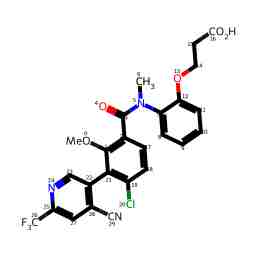 COc1c(C(=O)N(C)c2ccccc2OCCC(=O)O)ccc(Cl)c1-c1cnc(C(F)(F)F)cc1C#N